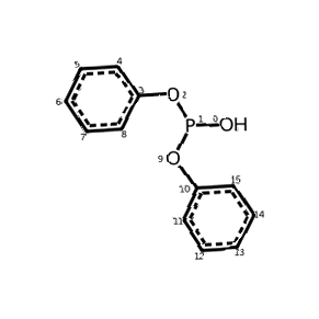 OP(Oc1ccccc1)Oc1ccccc1